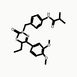 CCC1SC(=O)N(Cc2ccc(NC(=O)C(C)C)cc2)N=C1c1ccc(OC)c(OC)c1